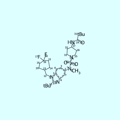 CN(c1ccc2c(c1)nc(C(C)(C)C)n2CC1CCC(F)(F)CC1)S(=O)(=O)N1CCC(NC(=O)C(C)(C)C)CC1